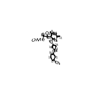 COC(=O)C(C)(OC)c1c(C)nc(C)nc1Oc1cnn(-c2cccc(C#N)c2)c1